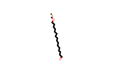 CSCOCCCCCCCCCCCCCCC[C]=O